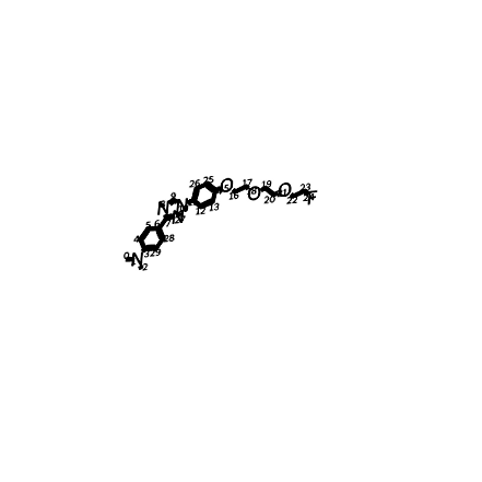 CN(C)c1ccc(-c2ncn(-c3ccc(OCCOCCOCCF)cc3)n2)cc1